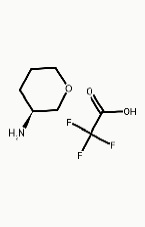 N[C@H]1CCCOC1.O=C(O)C(F)(F)F